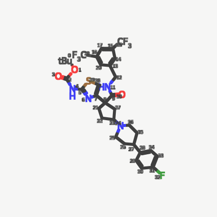 CC(C)(C)OC(=O)Nc1nc(C2(C(=O)NCc3cc(C(F)(F)F)cc(C(F)(F)F)c3)CCC(N3CCC(c4ccc(F)cc4)CC3)C2)cs1